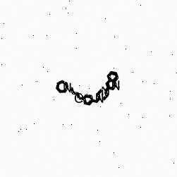 c1ccc2ncc(N3CCN(Cc4ccc(OCCCN5CCCCCC5)cc4)CC3)cc2c1